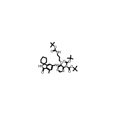 Cc1cc(Nc2ncnc(N(C(=O)OC(C)(C)C)C(=O)OC(C)(C)C)c2OCCCNC(=O)OC(C)(C)C)cc2c1C(=O)NC21CCCCC1